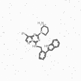 CC(C)c1cnn2c(NCc3ccccc3-c3cc4ccccc4[nH]3)nc(N3CCC[C@@H](N)C3)nc12